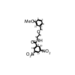 COc1cccc(COCCNC(=O)c2cc([N+](=O)[O-])cc([N+](=O)[O-])c2)c1